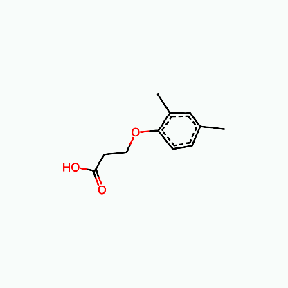 Cc1ccc(OCCC(=O)O)c(C)c1